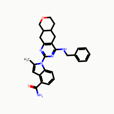 Cc1cc2c(C(N)=O)cccc2n1-c1nc2c(c(NCc3ccccc3)n1)CC1CCOCC1C2